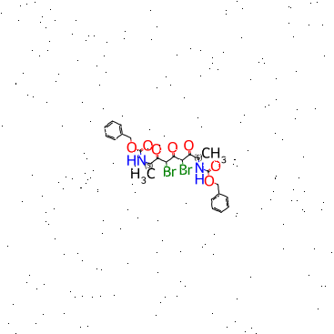 C[C@H](NC(=O)OCc1ccccc1)C(=O)C(Br)C(=O)C(Br)C(=O)[C@H](C)NC(=O)OCc1ccccc1